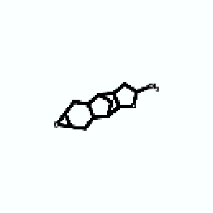 CC1CC2C3CC(C4CC5OC5CC34)C2O1